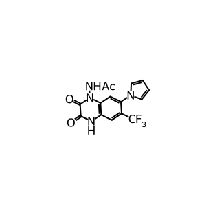 CC(=O)Nn1c(=O)c(=O)[nH]c2cc(C(F)(F)F)c(-n3cccc3)cc21